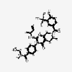 C=CC(C)Nc1nc2c(c(=O)n1-c1ccc(C(=O)N(C)CO)cc1)CC(C)N(C(=O)c1ccc(Br)c(C(F)(F)F)c1)C2